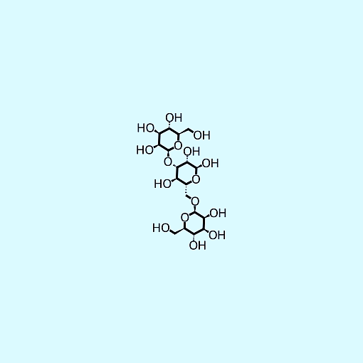 OC[C@H]1O[C@@H](OC[C@H]2O[C@H](O)[C@@H](O)[C@@H](O[C@@H]3O[C@H](CO)[C@@H](O)[C@H](O)[C@@H]3O)[C@@H]2O)[C@@H](O)[C@@H](O)[C@@H]1O